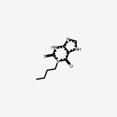 CCCCn1c(=S)[nH]c2nc[nH]c2c1=O